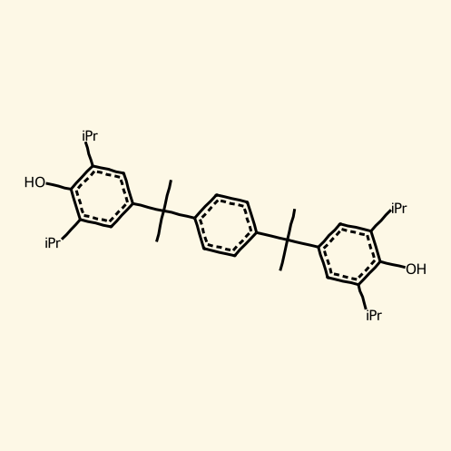 CC(C)c1cc(C(C)(C)c2ccc(C(C)(C)c3cc(C(C)C)c(O)c(C(C)C)c3)cc2)cc(C(C)C)c1O